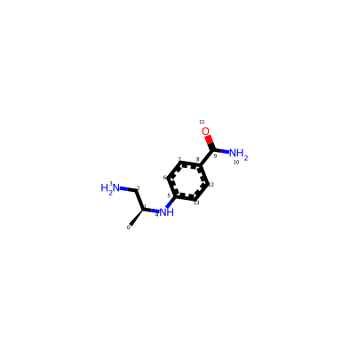 C[C@@H](CN)Nc1ccc(C(N)=O)cc1